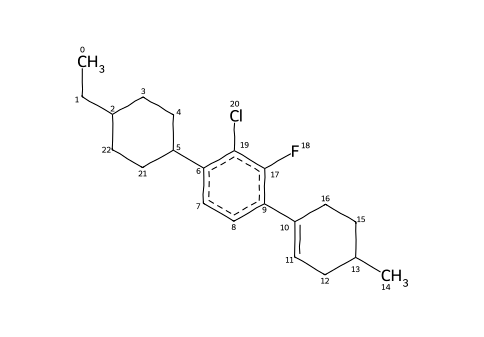 CCC1CCC(c2ccc(C3=CCC(C)CC3)c(F)c2Cl)CC1